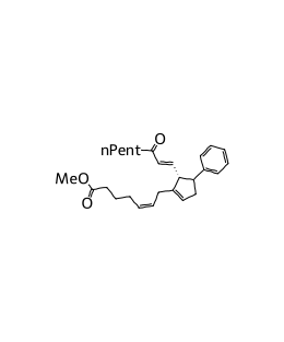 CCCCCC(=O)/C=C/[C@H]1C(C/C=C\CCCC(=O)OC)=CCC1c1ccccc1